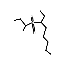 CCCCCC(CC)S(=O)(=O)C(C)CC